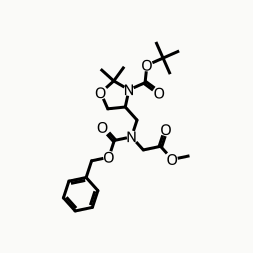 COC(=O)CN(CC1COC(C)(C)N1C(=O)OC(C)(C)C)C(=O)OCc1ccccc1